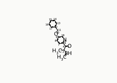 CBC(C)C(=O)c1ccc(OCc2ccccc2)cn1